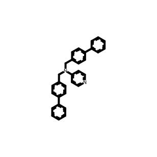 c1ccc(-c2ccc(CN(Cc3ccc(-c4ccccc4)cc3)c3ccncc3)cc2)cc1